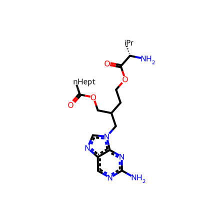 CCCCCCCC(=O)OCC(CCOC(=O)[C@@H](N)C(C)C)Cn1cnc2cnc(N)nc21